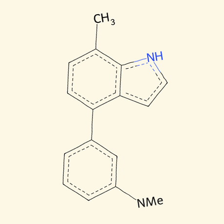 CNc1cccc(-c2ccc(C)c3[nH]ccc23)c1